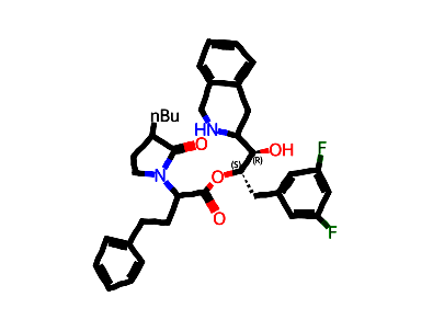 CCCCC1CCN(C(CCc2ccccc2)C(=O)O[C@@H](Cc2cc(F)cc(F)c2)[C@H](O)C2Cc3ccccc3CN2)C1=O